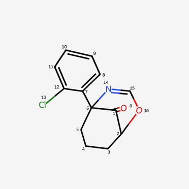 O=C1C2CCCC1(c1ccccc1Cl)N=CO2